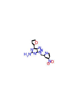 Nc1nc(-c2ccco2)c2nnn(Cc3cc([N+](=O)[O-])ccn3)c2n1